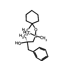 CC1(O[Si](C)(C)C[C@](C)(O)Cc2ccccc2)CCCCC1